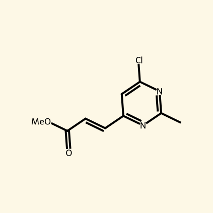 COC(=O)C=Cc1cc(Cl)nc(C)n1